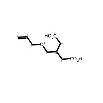 C=CCOCC(CC(=O)O)CC(=O)O